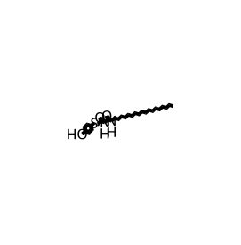 CCCCCCCCCCCCCCCCCCNC(=O)NC(=O)CSc1ccc(O)cc1